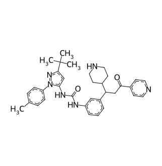 Cc1ccc(-n2nc(C(C)(C)C)cc2NC(=O)Nc2cccc(C(CC(=O)c3ccncc3)C3CCNCC3)c2)cc1